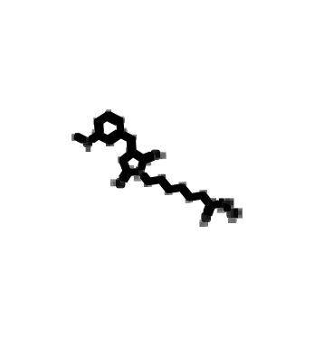 COc1cccc(/C=C2\CC(=O)N(CCCCCCC(=O)NO)C2=O)c1